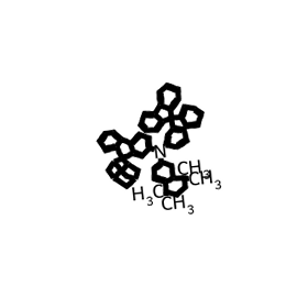 CC1(C)CCC(C)(C)C2CC(N(c3cccc(C4(c5ccccc5)c5ccccc5-c5ccccc54)c3)c3ccc4c(c3)C3(c5ccccc5-4)C4CC5CC6CC3C64C5)=CC=C21